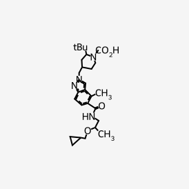 Cc1c(C(=O)NCC(C)OCC2CC2)ccc2nn(CC3CCN(C(=O)O)C(C(C)(C)C)C3)cc12